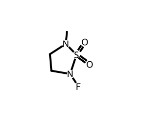 CN1CCN(F)S1(=O)=O